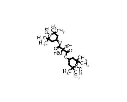 CCCCC(CCC)(C(=O)OC1CC(C)(C)N(O)C(C)(C)C1)C(=O)OC1CC(C)(C)N(O)C(C)(C)C1